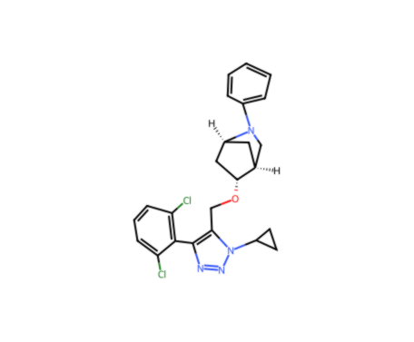 Clc1cccc(Cl)c1-c1nnn(C2CC2)c1CO[C@@H]1C[C@@H]2C[C@H]1CN2c1ccccc1